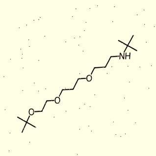 CC(C)(C)NCCCOCCCOCCOC(C)(C)C